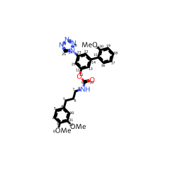 COc1ccc(CCCNC(=O)Oc2cc(-c3ccccc3OC)cc(-n3cnnn3)c2)cc1OC